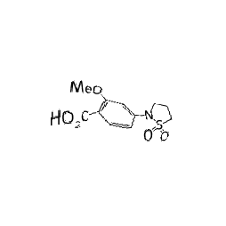 COc1cc(N2CCCS2(=O)=O)ccc1C(=O)O